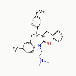 COc1ccc([C@@H]2Cc3cc(C(F)(F)F)ccc3N(CCN(C)C)C(=O)[C@@H]2Cc2ccccc2)cc1